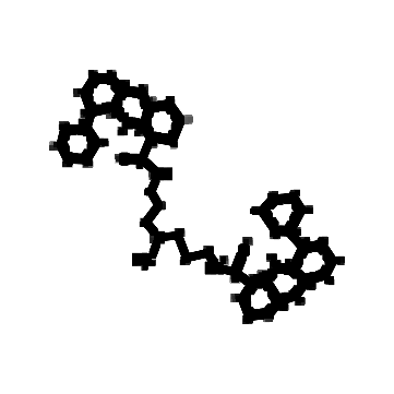 CN(CCCNC(=O)c1cccc2cc3cccc(-c4ccccc4)c3nc12)CCCNC(=O)c1cccc2cc3cccc(-c4ccccc4)c3nc12